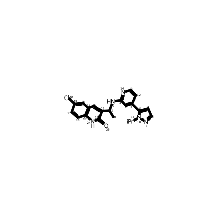 CC(Nc1cc(-c2ccnn2C(C)C)ccn1)c1cc2cc(Cl)ccc2[nH]c1=O